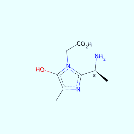 Cc1nc([C@H](C)N)n(CC(=O)O)c1O